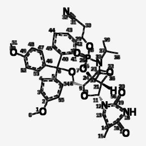 COc1ccc(C(OC[C@H]2O[C@@H](n3cc(C)c(=O)[nH]c3=O)[C@H]3OC[C@]32OP(=O)(OCCC#N)N(C(C)C)C(C)C)(c2ccccc2)c2ccc(OC)cc2)cc1